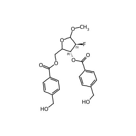 COC1OC(COC(=O)c2ccc(CO)cc2)[C@@H](OC(=O)c2ccc(CO)cc2)[C@@H]1F